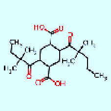 CCCC(C)(C)C(=O)C1CC(C(=O)O)C(C(=O)C(C)(C)CC)CC1C(=O)O